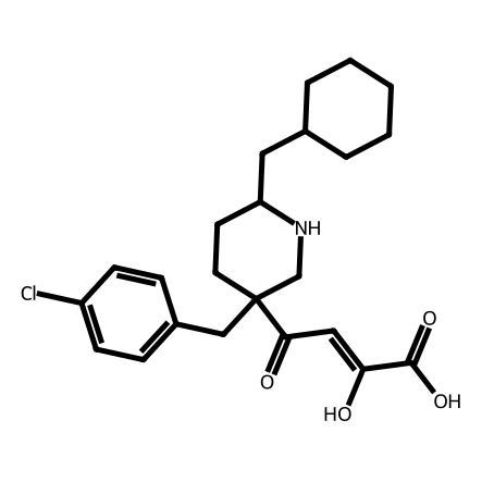 O=C(O)/C(O)=C/C(=O)C1(Cc2ccc(Cl)cc2)CCC(CC2CCCCC2)NC1